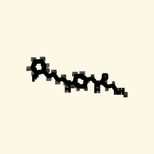 NCCC(=O)NCc1ccc(NCCCCc2ccccc2F)cc1